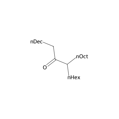 CCCCCCCCCCCC(=O)C(CCCCCC)CCCCCCCC